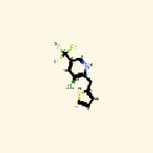 FC(F)(F)c1cnc(Cc2cc[c]s2)c(Cl)c1